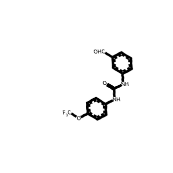 O=Cc1cccc(NC(=O)Nc2ccc(OC(F)(F)F)cc2)c1